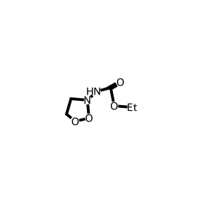 CCOC(=O)NN1CCOO1